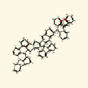 c1ccc(-c2ccccc2N(c2ccc3cc4c(cc3c2)C2(c3ccccc3-c3ccccc32)c2cc3cc(N(c5ccccc5-c5ccccc5)c5cccc6c5oc5ccccc56)ccc3cc2-4)c2cccc3c2oc2ccccc23)cc1